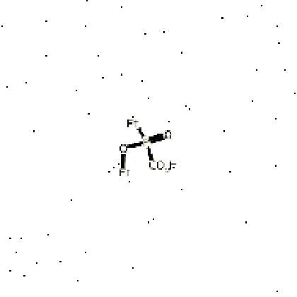 CCOP(=O)(CC)C(=O)O